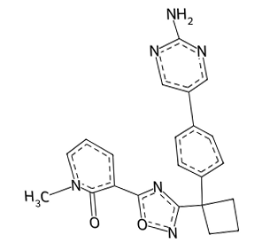 Cn1cccc(-c2nc(C3(c4ccc(-c5cnc(N)nc5)cc4)CCC3)no2)c1=O